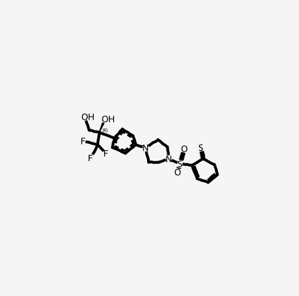 O=S(=O)(C1=CC=CCC1=S)N1CCN(c2ccc([C@@](O)(CO)C(F)(F)F)cc2)CC1